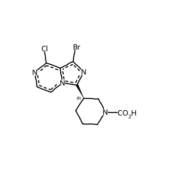 O=C(O)N1CCC[C@@H](c2nc(Br)c3c(Cl)nccn23)C1